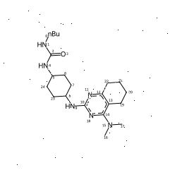 CCCCNC(=O)NC1CCC(Nc2nc3c(c(N(C)C)n2)CCCC3)CC1